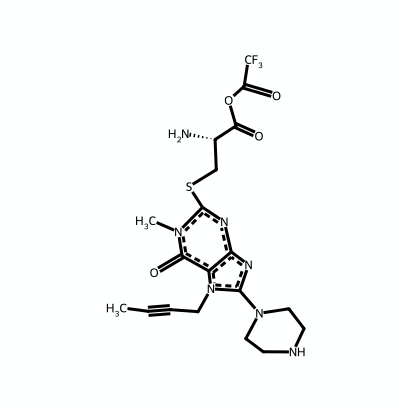 CC#CCn1c(N2CCNCC2)nc2nc(SC[C@H](N)C(=O)OC(=O)C(F)(F)F)n(C)c(=O)c21